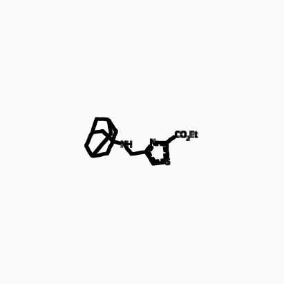 CCOC(=O)c1nc(CNC23CC4CC(CC(C4)C2)C3)cs1